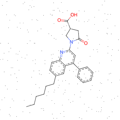 CCCCCCc1ccc2nc(N3CC(C(=O)O)CC3=O)cc(-c3ccccc3)c2c1